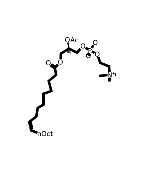 CCCCCCCC/C=C\CCCCCCCC(=O)OC[C@H](COP(=O)([O-])OCC[N+](C)(C)C)OC(C)=O